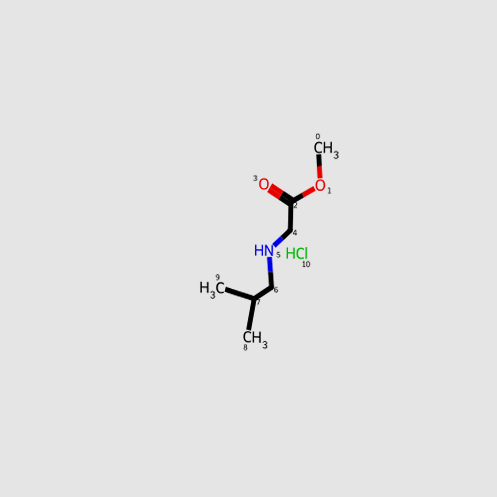 COC(=O)CNCC(C)C.Cl